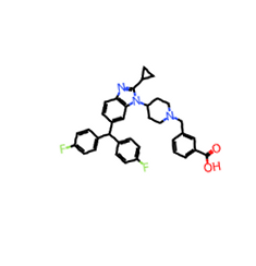 O=C(O)c1cccc(CN2CCC(n3c(C4CC4)nc4ccc(C(c5ccc(F)cc5)c5ccc(F)cc5)cc43)CC2)c1